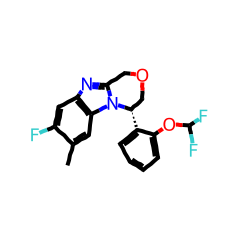 Cc1cc2c(cc1F)nc1n2[C@@H](c2ccccc2OC(F)F)COC1